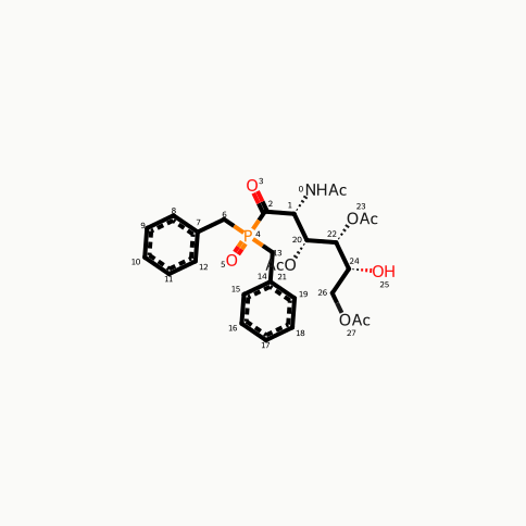 CC(=O)N[C@@H](C(=O)P(=O)(Cc1ccccc1)Cc1ccccc1)[C@@H](OC(C)=O)[C@H](OC(C)=O)[C@H](O)COC(C)=O